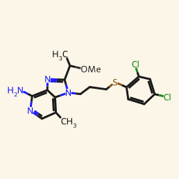 COC(C)c1nc2c(N)ncc(C)c2n1CCCSc1ccc(Cl)cc1Cl